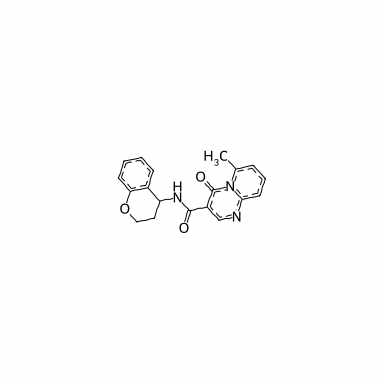 Cc1cccc2ncc(C(=O)NC3CCOc4ccccc43)c(=O)n12